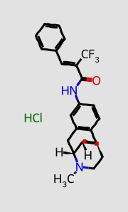 CN1CC[C@]23CCCC[C@H]2[C@H]1Cc1cc(NC(=O)C(=Cc2ccccc2)C(F)(F)F)ccc13.Cl